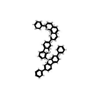 C1=C=CC(c2ccc3c4ccc(-c5ccccc5)cc4n(-c4cccc5c4oc4cc(-c6ccc7ccc8ccc(C9=CC=CCC9)nc8c7n6)ccc45)c3c2)=CC=1